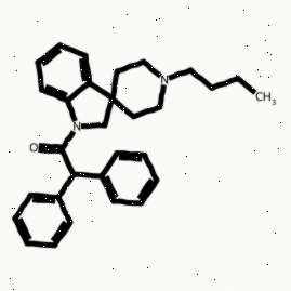 CCCCN1CCC2(CC1)CN(C(=O)C(c1ccccc1)c1ccccc1)c1ccccc12